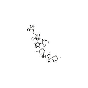 Cc1ccc(NC(=O)Nc2ccc(-c3snc(NC(=O)NCCC(=O)O)c3C(N)=O)c(C)c2)cc1